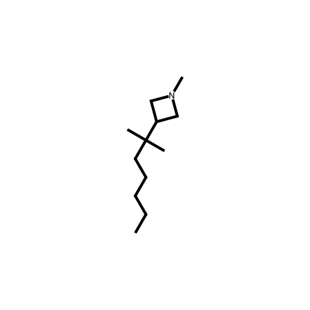 CCCCCC(C)(C)C1CN(C)C1